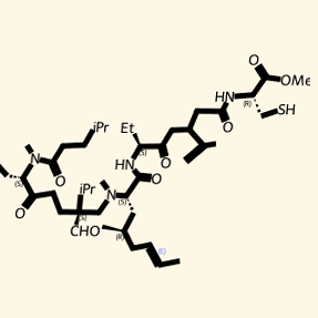 C=C(C)C(CC(=O)N[C@@H](CS)C(=O)OC)CC(=O)[C@H](CC)NC(=O)[C@H](C[C@H](C)C/C=C/C)N(C)C[C@](C=O)(CCC(=O)[C@H](CC(C)C)N(C)C(=O)CCC(C)C)C(C)C